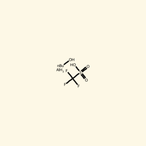 CCCCO.O=S(=O)(O)C(F)(F)F.[AlH3]